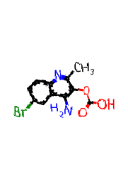 Cc1nc2ccc(Br)cc2c(N)c1OC(=O)O